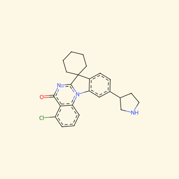 O=c1nc2n(c3cccc(Cl)c13)-c1cc(C3CCNC3)ccc1C21CCCCC1